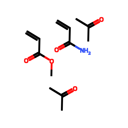 C=CC(=O)OC.C=CC(N)=O.CC(C)=O.CC(C)=O